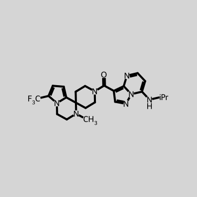 CC(C)Nc1ccnc2c(C(=O)N3CCC4(CC3)c3ccc(C(F)(F)F)n3CCN4C)cnn12